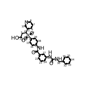 O=C(O)CC(c1cccnc1)S(=O)(=O)c1ccc(NC(=O)c2cccc(NC(=O)NCc3ccccc3)c2)cc1